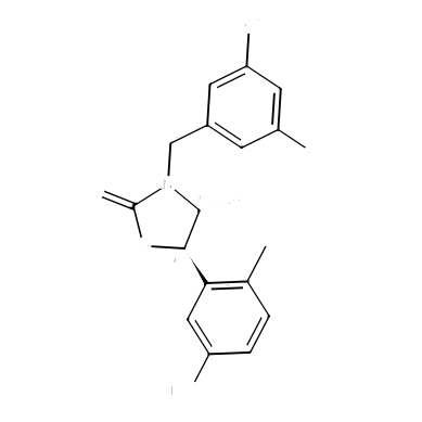 Cc1ccc(C(F)(F)F)cc1[C@H]1OC(=O)N(Cc2cc(C(F)(F)F)cc(C(F)(F)F)c2)[C@@H]1C